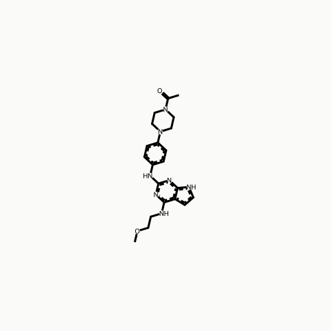 COCCNc1nc(Nc2ccc(N3CCN(C(C)=O)CC3)cc2)nc2[nH]ccc12